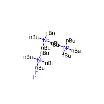 CCCC[N+](CCCC)(CCCC)CCCC.CCCC[N+](CCCC)(CCCC)CCCC.CCCC[N+](CCCC)(CCCC)CCCC.[I-].[I-].[I-]